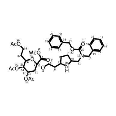 COC(=O)[C@@]1(OCCC2CCC(CN(Cc3ccccc3)C(=O)OCc3ccccc3)N2)C[C@@H](OC(C)=O)[C@@H](OC(C)=O)C(CCOC(C)=O)O1